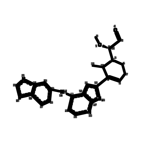 CO[C@H](C=O)N1CCC=C(c2cc3c(Nc4ccc5scnc5c4)ccnc3s2)C1C